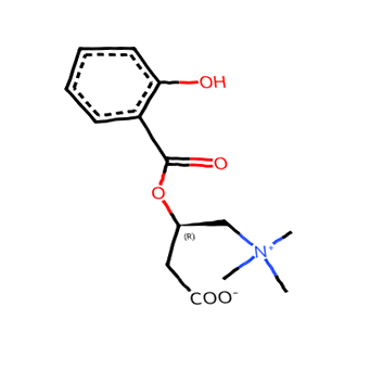 C[N+](C)(C)C[C@@H](CC(=O)[O-])OC(=O)c1ccccc1O